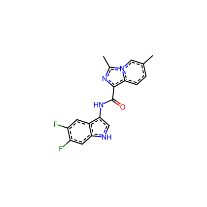 Cc1ccc2c(C(=O)Nc3c[nH]c4cc(F)c(F)cc34)nc(C)n2c1